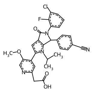 COc1cnc(CC(=O)O)cc1-c1cc2c(n1C(C)C)C(c1ccc(C#N)cc1)N(c1cccc(Cl)c1F)C2=O